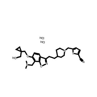 CN(C)Cc1c(OCC2(CO)CC2)ccc2c(CCC3CCN(Cc4ccc(C#N)s4)CC3)noc12.Cl.Cl